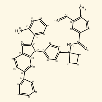 Cc1ccc(C(=O)NC2(c3ccc(-n4c(-c5cccnc5N)nc5ccc(-c6ccccc6)nc54)cc3)CCC2)cc1C=O